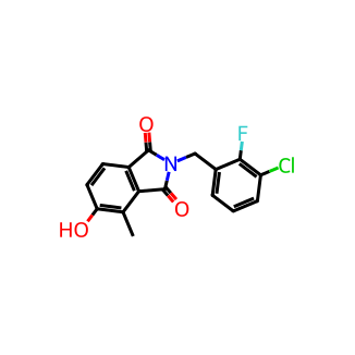 Cc1c(O)ccc2c1C(=O)N(Cc1cccc(Cl)c1F)C2=O